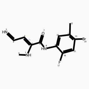 CN/C(=C\C=N)C(=O)Nc1cc(C)c(Br)cc1F